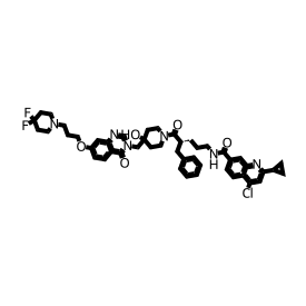 O=C(NCCC[C@H](Cc1ccccc1)C(=O)N1CCC(O)(Cn2cnc3cc(OCCCN4CCC(F)(F)CC4)ccc3c2=O)CC1)c1ccc2c(Cl)cc(C3CC3)nc2c1